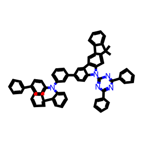 CC1(C)c2ccccc2-c2cc3c4cc(-c5cccc(N(c6ccc(-c7ccccc7)cc6)c6ccccc6-c6ccccc6)c5)ccc4n(-c4nc(-c5ccccc5)nc(-c5ccccc5)n4)c3cc21